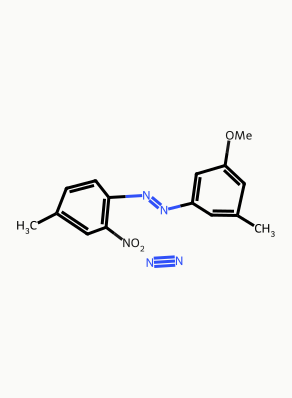 COc1cc(C)cc(N=Nc2ccc(C)cc2[N+](=O)[O-])c1.N#N